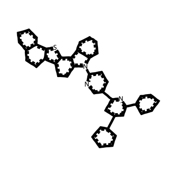 c1ccc(-c2cc(-c3ccccc3)nc(-c3ccc(-n4c5ccccc5c5c6sc7c8ccccc8ccc7c6ccc54)nc3)c2)cc1